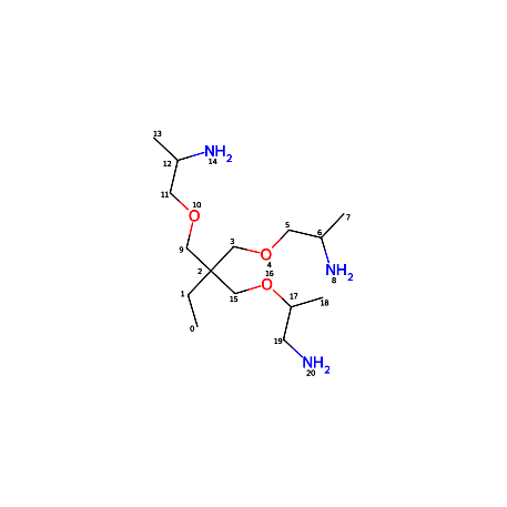 CCC(COCC(C)N)(COCC(C)N)COC(C)CN